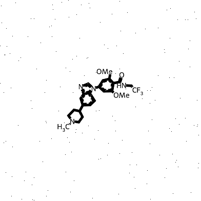 COc1cc(-n2cnc3cc(C4CCN(C)CC4)ccc32)cc(OC)c1C(=O)NCC(F)(F)F